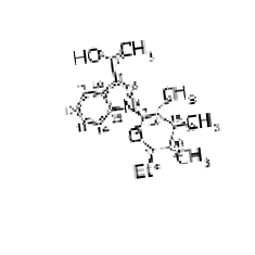 CC[C@H]1O[C@@H](n2cc(C(C)O)c3ccccc32)[C@H](C)[C@@H](C)C1C